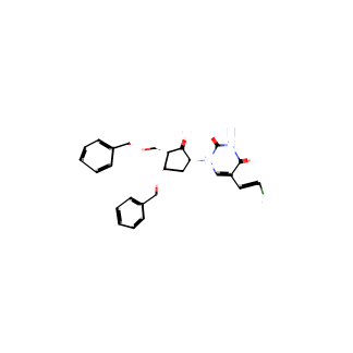 O=C1[C@H](COCc2ccccc2)[C@@H](OCc2ccccc2)C[C@@H]1n1cc(/C=C/Cl)c(=O)[nH]c1=O